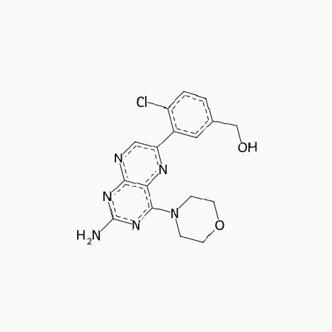 Nc1nc(N2CCOCC2)c2nc(-c3cc(CO)ccc3Cl)cnc2n1